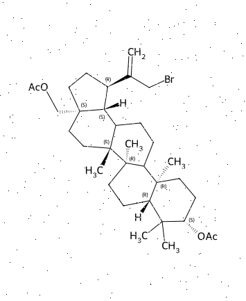 C=C(CBr)[C@@H]1CC[C@]2(COC(C)=O)CC[C@]3(C)C(CCC4[C@@]5(C)CC[C@H](OC(C)=O)C(C)(C)[C@@H]5CC[C@]43C)[C@@H]12